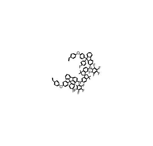 C=Cc1ccc(Oc2ccc(C3(c4ccc(F)cc4)c4ccccc4-c4ccc(N(c5ccc6c(c5)C5(CC6(C)C)CC(C)(C)c6ccc(N(c7ccc8c(c7)C(c7ccc(F)cc7)(c7ccc(Oc9ccc(C=C)cc9)cc7)c7ccccc7-8)C7C(F)=C(F)C(F)=C(F)C7F)cc65)c5c(F)c(F)c(F)c(F)c5F)cc43)cc2)cc1